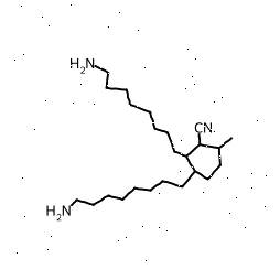 CC1CCC(CCCCCCCCN)C(CCCCCCCCN)C1C#N